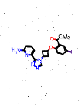 COC(=O)c1cc(I)ccc1OC1CC(n2cnnc2-c2cccc(N)n2)C1